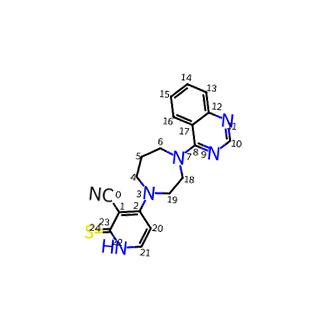 N#Cc1c(N2CCCN(c3ncnc4ccccc34)CC2)cc[nH]c1=S